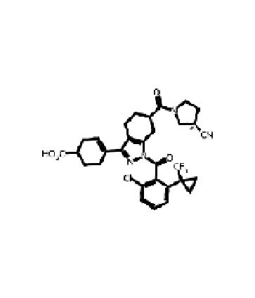 N#C[C@@H]1CCN(C(=O)C2CCc3c(C4=CCC(C(=O)O)CC4)nn(C(=O)c4c(Cl)cccc4C4(C(F)(F)F)CC4)c3C2)C1